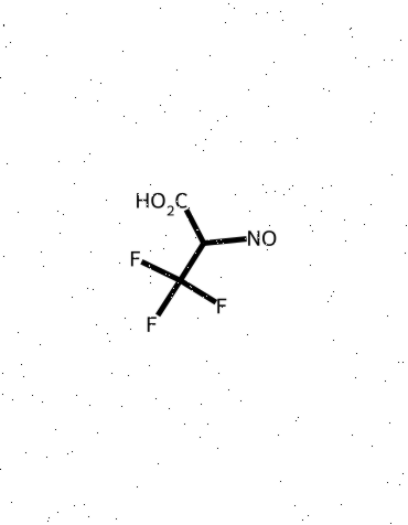 O=NC(C(=O)O)C(F)(F)F